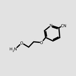 N#Cc1ccc(OCCON)cn1